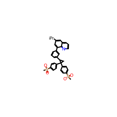 CC(C)c1cc(-c2cccc(C3CC3(c3ccc(S(C)(=O)=O)cc3)c3ccc(S(C)(=O)=O)cc3)c2)c2ncccc2c1